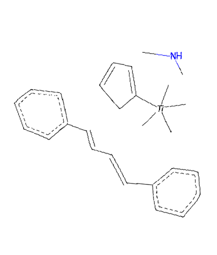 C(C=Cc1ccccc1)=Cc1ccccc1.CNC.[CH3][Ti]([CH3])([CH3])([CH3])[C]1=CC=CC1